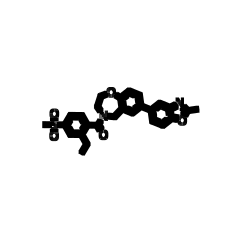 CCc1cc(S(C)(=O)=O)ccc1C(=O)N1CCOc2ccc(-c3ccc4oc(C)nc4c3)cc2C1